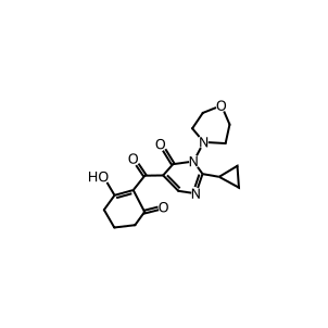 O=C1CCCC(O)=C1C(=O)c1cnc(C2CC2)n(N2CCOCC2)c1=O